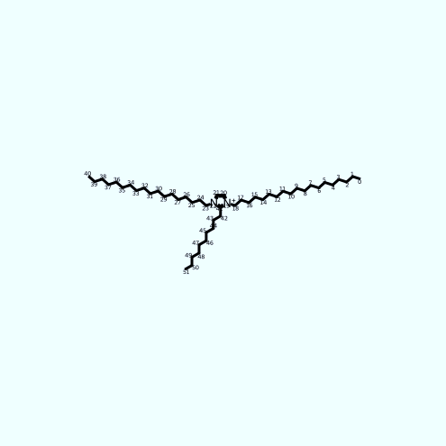 CCCCCCCCCCCCCCCCCCC[n+]1ccn(CCCCCCCCCCCCCCCCCC)c1CCCCCCCCCC